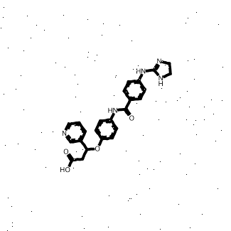 O=C(O)CC(Oc1ccc(NC(=O)c2ccc(NC3=NCCN3)cc2)cc1)c1cccnc1